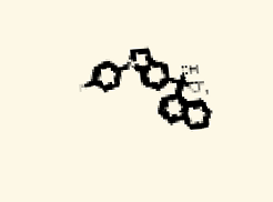 OC(c1ccc2c(ccn2-c2ccc(F)cc2)c1)(c1cccc2ccccc12)C(F)(F)F